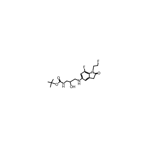 CC(C)(C)OC(=O)NCC(O)CNc1cc(F)c2c(c1)CC(=O)N2CCF